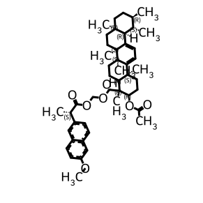 COc1ccc2cc([C@H](C)C(=O)OCOC(=O)[C@@]3(C)[C@H](OC(C)=O)CC[C@]4(C)C5=CC=C6[C@@H]7[C@@H](C)[C@H](C)CC[C@]7(C)CC[C@]6(C)[C@]5(C)CC[C@@H]34)ccc2c1